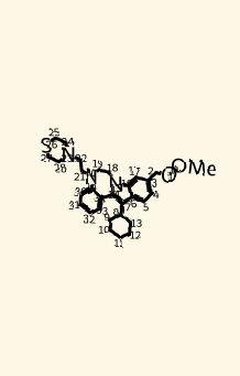 COOCc1ccc2c(C3CCCCC3)c3n(c2c1)CCN(CCN1CCSCC1)c1ccccc1-3